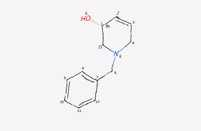 O[C@@H]1C=CCN(Cc2ccccc2)C1